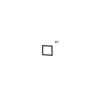 [CH]1CCC1.[H+]